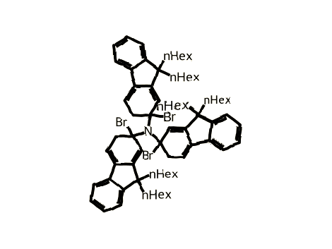 CCCCCCC1(CCCCCC)C2=CC(Br)(N(C3(Br)C=C4C(=CC3)c3ccccc3C4(CCCCCC)CCCCCC)C3(Br)C=C4C(=CC3)c3ccccc3C4(CCCCCC)CCCCCC)CC=C2c2ccccc21